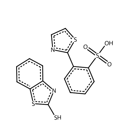 O=S(=O)(O)c1ccccc1-c1nccs1.Sc1nc2ccccc2s1